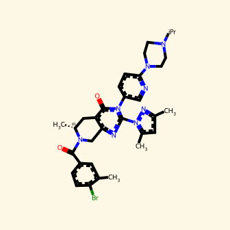 Cc1cc(C)n(-c2nc3c(c(=O)n2-c2ccc(N4CCN(C(C)C)CC4)nc2)C[C@@H](C)N(C(=O)c2ccc(Br)c(C)c2)C3)n1